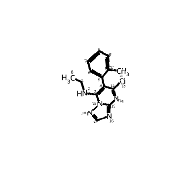 CCNc1c(-c2ccccc2C)c(Cl)nc2ncnn12